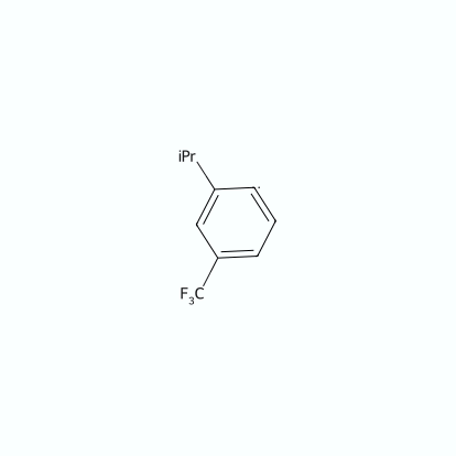 CC(C)c1[c]ccc(C(F)(F)F)c1